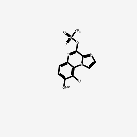 COc1ccc2nc(OS(=O)(=O)C(F)(F)F)c3nccn3c2c1Cl